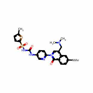 CNc1ccc2c(=O)n(-c3ccc(NC(=O)NS(=O)(=O)c4ccc(C)s4)cn3)cc(CN(C)C)c2c1